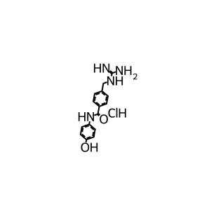 Cl.N=C(N)NCc1ccc(C(=O)Nc2ccc(O)cc2)cc1